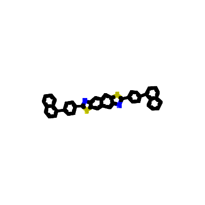 c1ccc2c(-c3ccc(-c4nc5cc6cc7sc(-c8ccc(-c9cccc%10ccccc9%10)cc8)nc7cc6cc5s4)cc3)cccc2c1